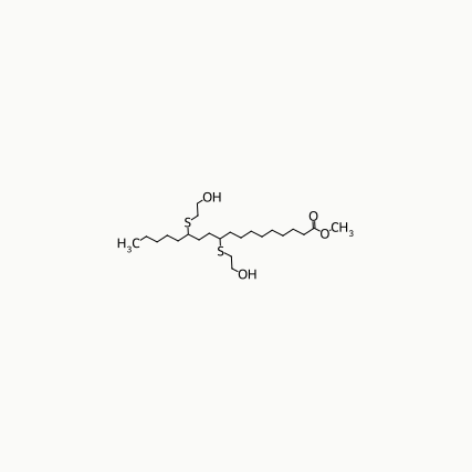 CCCCCC(CCC(CCCCCCCCC(=O)OC)SCCO)SCCO